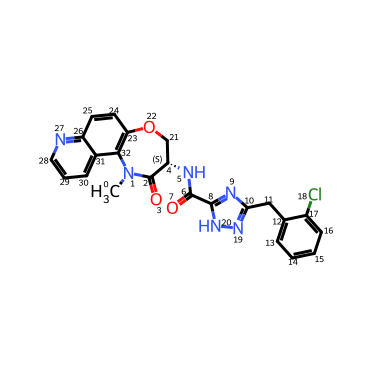 CN1C(=O)[C@@H](NC(=O)c2nc(Cc3ccccc3Cl)n[nH]2)COc2ccc3ncccc3c21